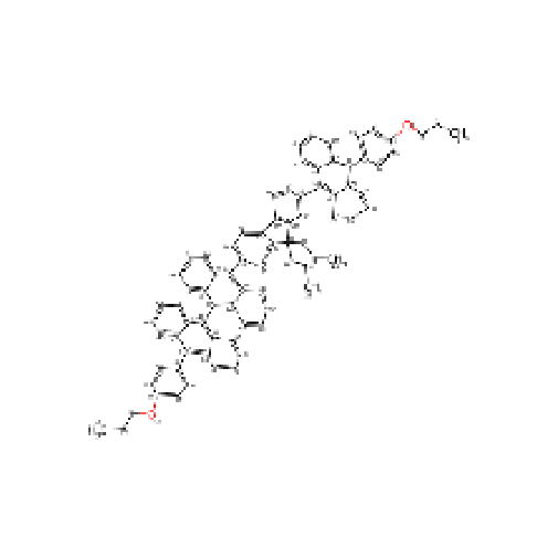 CCCOc1ccc(-c2c3ccccc3c(-c3ccc4c(c3)C(CCC)(CCC)c3cc(-c5c6ccccc6c(-c6c7ccccc7c(-c7ccc(OCCC)cc7)c7ccccc67)c6ccccc56)ccc3-4)c3ccccc23)cc1